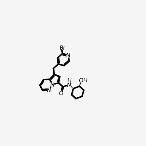 O=C(N[C@H]1CCCC[C@@H]1O)c1cc(Cc2ccnc(Br)c2)c2cccnn12